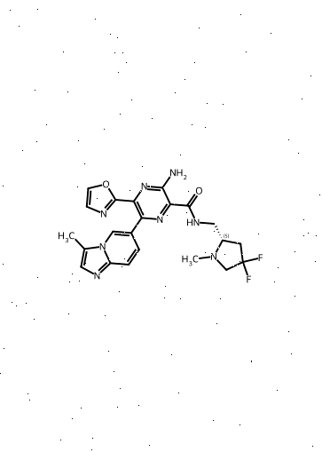 Cc1cnc2ccc(-c3nc(C(=O)NC[C@@H]4CC(F)(F)CN4C)c(N)nc3-c3ncco3)cn12